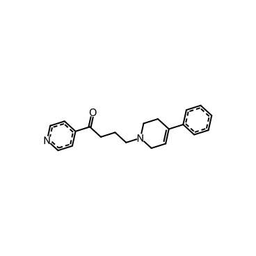 O=C(CCCN1CC=C(c2ccccc2)CC1)c1ccncc1